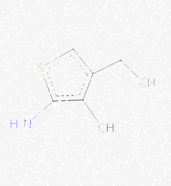 CCc1csc(N)c1C